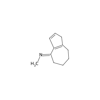 CN=C1CCCCC2=C1C=CC2